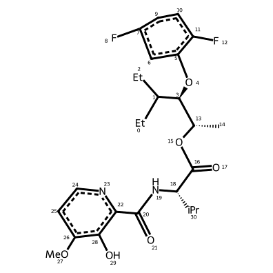 CCC(CC)[C@@H](Oc1cc(F)ccc1F)[C@H](C)OC(=O)[C@@H](NC(=O)c1nccc(OC)c1O)C(C)C